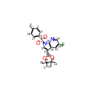 Cc1ccc(S(=O)(=O)n2cc(B3OC(C)(C)C(C)(C)O3)c3cc(F)cnc32)cc1